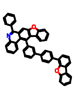 c1ccc(-c2nc3ccccc3c3c(-c4cccc(-c5ccc(-c6cccc7c6oc6ccccc67)cc5)c4)c4c(cc23)oc2ccccc24)cc1